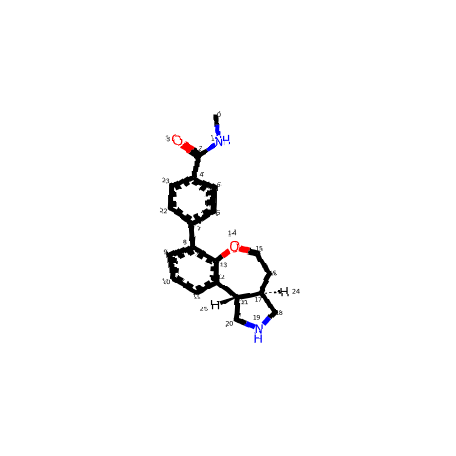 CNC(=O)c1ccc(-c2cccc3c2OCC[C@H]2CNC[C@H]32)cc1